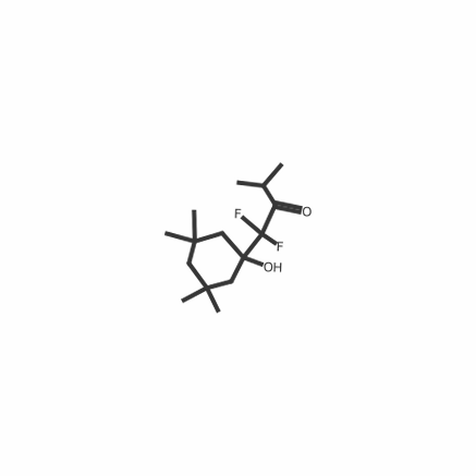 CC(C)C(=O)C(F)(F)C1(O)CC(C)(C)CC(C)(C)C1